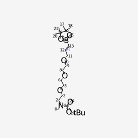 CN(CCOCCOCCOC/C=C/B1OC(C)(C)C(C)(C)O1)C(=O)OC(C)(C)C